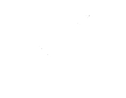 CON(C)C(=O)c1ccc2c(c1)n(C)c(=O)n2C1CCCC1